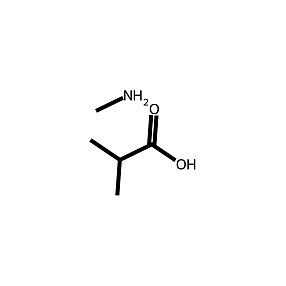 CC(C)C(=O)O.CN